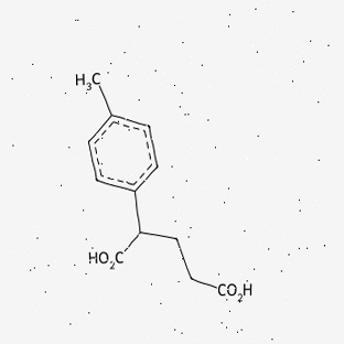 Cc1ccc(C(CCC(=O)O)C(=O)O)cc1